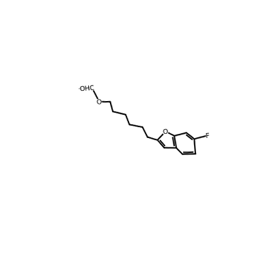 O=[C]OCCCCCCc1cc2ccc(F)cc2o1